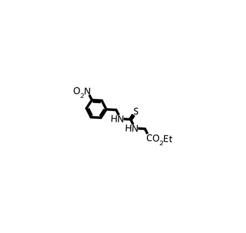 CCOC(=O)CNC(=S)NCc1cccc([N+](=O)[O-])c1